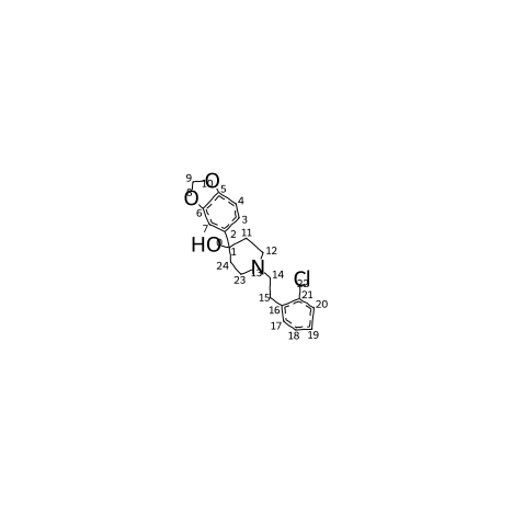 OC1(c2ccc3c(c2)OCO3)CCN(CCc2ccccc2Cl)CC1